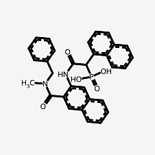 CN(Cc1ccccc1)C(=O)c1cc2ccccc2cc1NC(=O)C(c1cccc2ccccc12)P(=O)(O)O